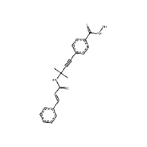 CC(C)(C#Cc1ccc(C(=S)NO)cc1)NC(=O)C=Cc1ccccc1